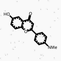 CNc1ccc(-c2cc(=O)c3cc(O)ccc3o2)cc1